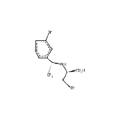 CC(C)C[C@@H](N[C@@H](c1cccc(Br)c1)C(F)(F)F)C(=O)O